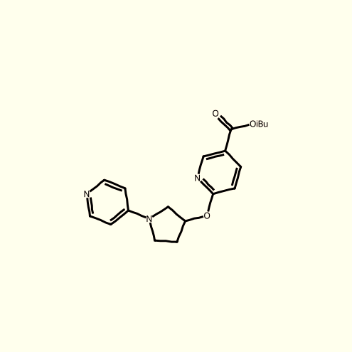 CC(C)COC(=O)c1ccc(OC2CCN(c3ccncc3)C2)nc1